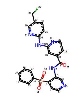 O=C(Nc1cnccc1S(=O)(=O)c1ccccc1)c1ccnc(Nc2ccc(CF)cn2)c1